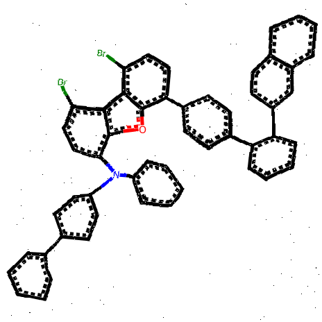 Brc1ccc(-c2ccc(-c3ccccc3-c3ccc4ccccc4c3)cc2)c2oc3c(N(c4ccccc4)c4ccc(-c5ccccc5)cc4)ccc(Br)c3c12